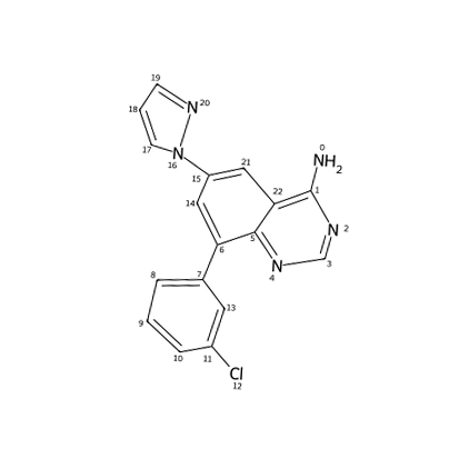 Nc1ncnc2c(-c3cccc(Cl)c3)cc(-n3cccn3)cc12